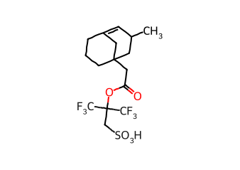 CC1C=C2CCCC(CC(=O)OC(CS(=O)(=O)O)(C(F)(F)F)C(F)(F)F)(C2)C1